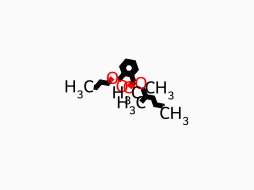 CCCCOC(=O)c1ccccc1C(=O)OC(C)(C)C(C)CCCC